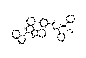 C=C(/N=C(\N=C(/N)c1ccccc1)c1ccccc1)c1ccc(-c2cccc3nc(-c4cccc5ccccc45)c4oc5ccccc5c4c23)cc1